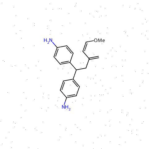 C=C(/C=C\OC)CC(c1ccc(N)cc1)c1ccc(N)cc1